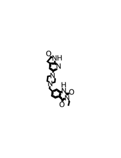 CCn1c(=O)[nH]c2cc(CN3CCN(c4cnc5c(c4)CC(=O)N5)CC3)ccc2c1=O